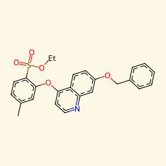 CCOS(=O)(=O)c1ccc(C)cc1Oc1ccnc2cc(OCc3ccccc3)ccc12